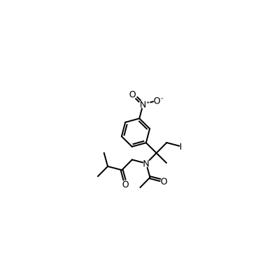 CC(=O)N(CC(=O)C(C)C)C(C)(CI)c1cccc([N+](=O)[O-])c1